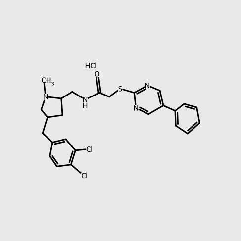 CN1CC(Cc2ccc(Cl)c(Cl)c2)CC1CNC(=O)CSc1ncc(-c2ccccc2)cn1.Cl